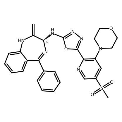 C=C1Nc2ccccc2C(c2ccccc2)=N[C@@H]1Nc1nnc(-c2ncc(S(C)(=O)=O)cc2N2CCOCC2)o1